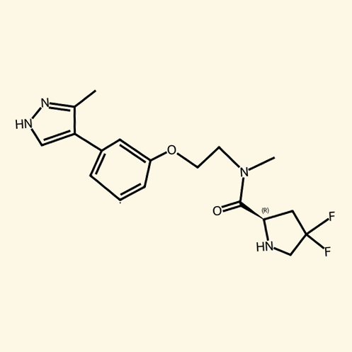 Cc1n[nH]cc1-c1c[c]cc(OCCN(C)C(=O)[C@H]2CC(F)(F)CN2)c1